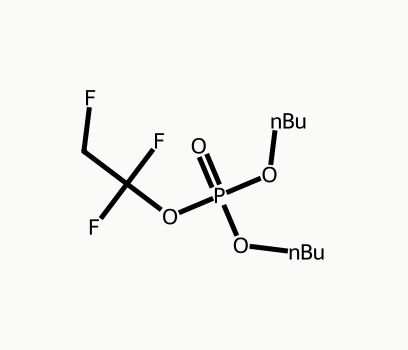 CCCCOP(=O)(OCCCC)OC(F)(F)CF